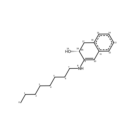 CCCCCCCCNC1=Cc2ccccc2C[C@H]1O